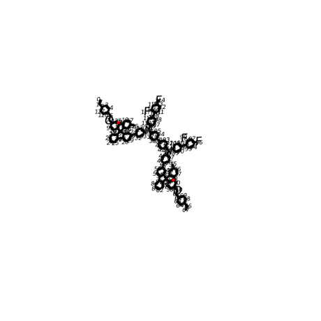 C=Cc1ccc(COc2ccc(C3(c4cc(C)ccc4C)c4ccccc4-c4ccc(-c5ccc(N(c6ccc(-c7ccc(N(c8ccc(-c9ccc%10c(c9)C(c9ccc(OCc%11ccc(C=C)cc%11)cc9)(c9cc(C)ccc9C)c9ccccc9-%10)cc8)c8ccc(-c9ccc(F)cc9F)cc8)cc7)cc6)c6ccc(-c7ccc(F)cc7F)cc6)cc5)cc43)cc2)cc1